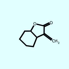 C=C1C(=O)OC2CCCCC12